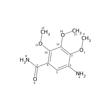 COc1c(N)cc(C(N)=O)c(OC)c1OC